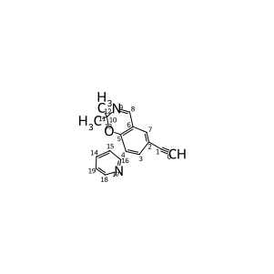 C#Cc1ccc2c(c1)C=NC(C)(C)O2.c1ccncc1